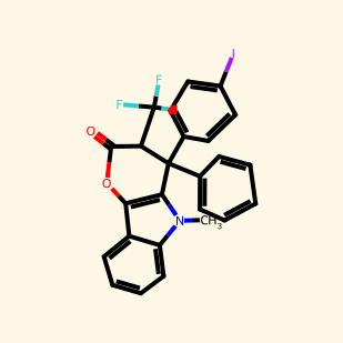 Cn1c2c(c3ccccc31)OC(=O)C(C(F)(F)F)C2(c1ccccc1)c1ccc(I)cc1